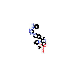 Cc1nc(C)c(C(OC(C)(C)C)C(=O)O)c(N2CCC(C)(C)CC2)c1-c1ccc2c(c1)CCN(c1cc(Nc3ccccc3)ncn1)C2